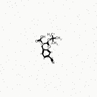 CC(C)(C)OC(=O)N(Cc1ccc(C#N)cc1)C(=O)O